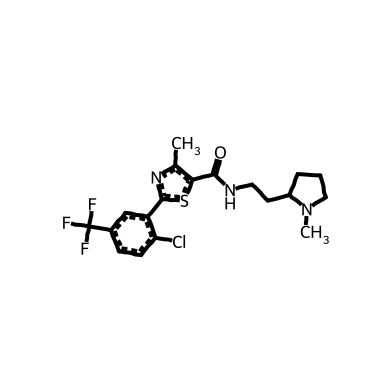 Cc1nc(-c2cc(C(F)(F)F)ccc2Cl)sc1C(=O)NCCC1CCCN1C